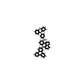 c1ccc(-c2c(Nc3ccc(N4c5ccccc5Oc5ccccc54)cc3)cccc2N(c2ccccc2)c2ccc3c4ccccc4c4ccccc4c3c2)cc1